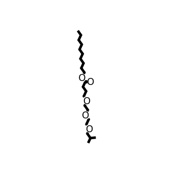 CCCCCCCCCCOC(=O)CCCOCCOCCOCC(C)C